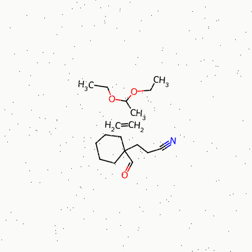 C=C.CCOC(C)OCC.N#CCCC1(C=O)CCCCC1